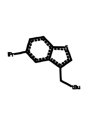 CC(C)c1ccc2scc(CC(C)(C)C)c2c1